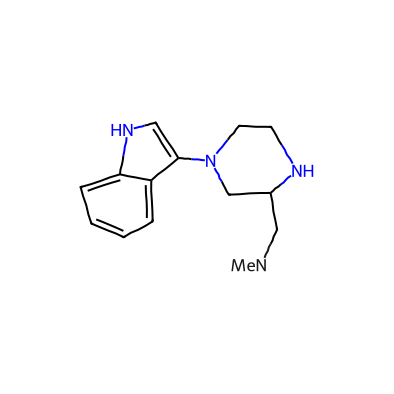 CNCC1CN(c2c[nH]c3ccccc23)CCN1